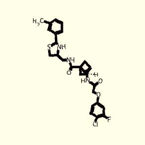 Cc1cccc(C2NC(CNC(=O)C34CC(C3)[C@@H](NC(=O)COc3ccc(Cl)c(F)c3)C4)CS2)c1